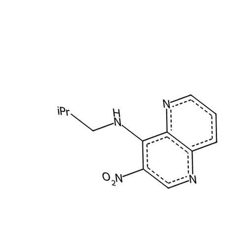 CC(C)CNc1c([N+](=O)[O-])cnc2cccnc12